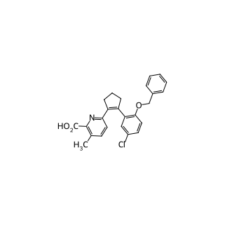 Cc1ccc(C2=C(c3cc(Cl)ccc3OCc3ccccc3)CCC2)nc1C(=O)O